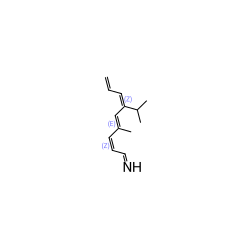 C=C\C=C(/C=C(C)/C=C\C=N)C(C)C